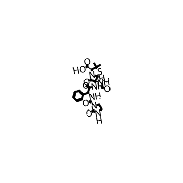 CC1(C)S[C@H]2N(C(=O)[C@@]2(NC=O)NC(=O)C(NC(=O)N2CCNC2=O)c2ccccc2)[C@H]1C(=O)O